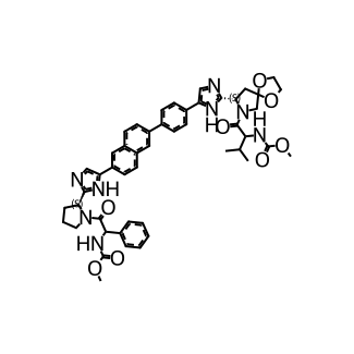 COC(=O)NC(C(=O)N1CCC[C@H]1c1ncc(-c2ccc3cc(-c4ccc(-c5cnc([C@@H]6CC7(CN6C(=O)C(NC(=O)OC)C(C)C)OCCO7)[nH]5)cc4)ccc3c2)[nH]1)c1ccccc1